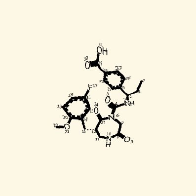 CC[C@@H](NC(=O)N1CC(=O)NC[C@H](Cc2cc(F)ccc2OC)C1=O)c1ccc(C(=O)O)cc1